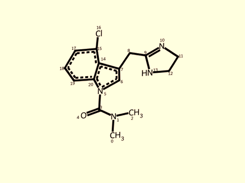 CN(C)C(=O)n1cc(CC2=NCCN2)c2c(Cl)cccc21